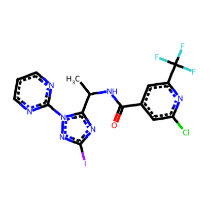 CC(NC(=O)c1cc(Cl)nc(C(F)(F)F)c1)c1nc(I)nn1-c1ncccn1